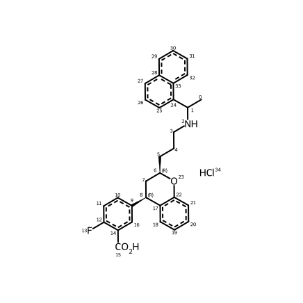 CC(NCCC[C@@H]1C[C@H](c2ccc(F)c(C(=O)O)c2)c2ccccc2O1)c1cccc2ccccc12.Cl